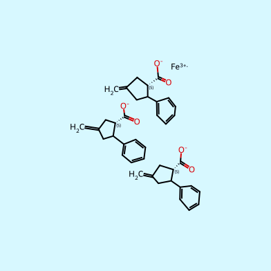 C=C1CC(c2ccccc2)[C@@H](C(=O)[O-])C1.C=C1CC(c2ccccc2)[C@@H](C(=O)[O-])C1.C=C1CC(c2ccccc2)[C@@H](C(=O)[O-])C1.[Fe+3]